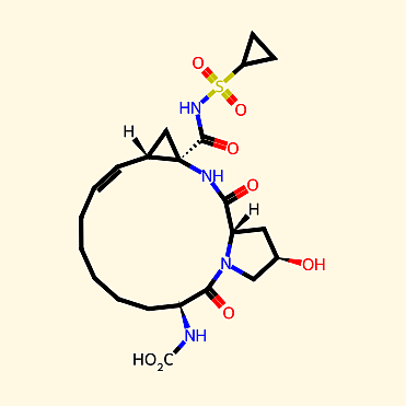 O=C(O)N[C@H]1CCCCCC=C[C@@H]2C[C@@]2(C(=O)NS(=O)(=O)C2CC2)NC(=O)[C@@H]2C[C@@H](O)CN2C1=O